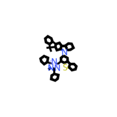 C=N/C(=N\C(=N/Cc1ccccc1)c1cc(-n2c3ccccc3c3cc4c(cc32)C(C)(C)c2ccccc2-4)cc2c1sc1ccccc12)c1ccccc1